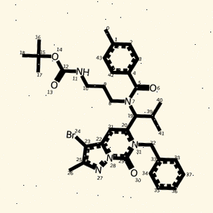 Cc1ccc(C(=O)N(CCCNC(=O)OC(C)(C)C)C(c2cc3c(Br)c(C)nn3c(=O)n2Cc2ccccc2)C(C)C)cc1